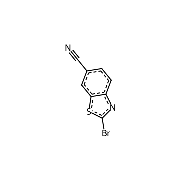 N#Cc1ccc2nc(Br)sc2c1